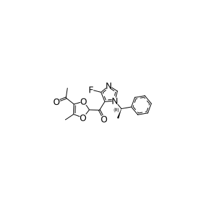 CC(=O)C1=C(C)OC(C(=O)c2c(F)ncn2[C@H](C)c2ccccc2)O1